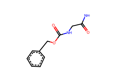 [NH]C(=O)CNC(=O)OCc1ccccc1